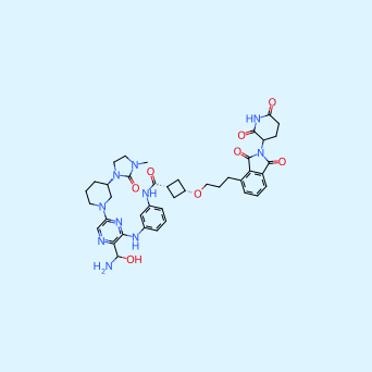 CN1CCN([C@@H]2CCCN(c3cnc(C(N)O)c(Nc4cccc(NC(=O)[C@H]5C[C@@H](OCCCc6cccc7c6C(=O)N(C6CCC(=O)NC6=O)C7=O)C5)c4)n3)C2)C1=O